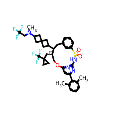 Cc1cccc(C)c1-c1cc2nc(n1)NS(=O)(=O)c1cccc(c1)CC(C1CC3(C1)CC(N(C)CC(F)(F)F)C3)[C@H](CC1(C(F)(F)F)CC1)CO2